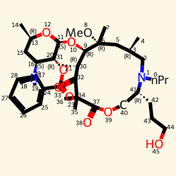 CCCN1C[C@H](C)C[C@@](C)(OC)[C@H](O[C@@H]2O[C@H](C)C[C@H](N(C)C)[C@H]2OC(=O)c2ccccc2)[C@@H](C)C(=O)C(C)(C)C(=O)OC[C@H]1CCCO